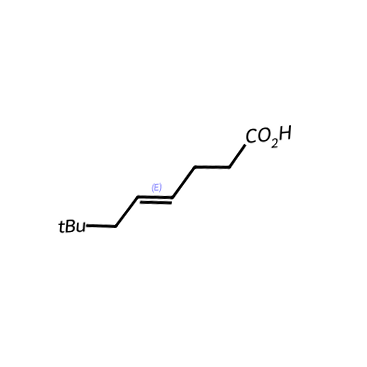 CC(C)(C)C/C=C/CCC(=O)O